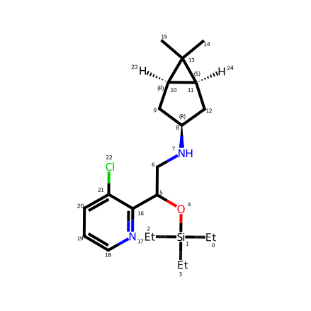 CC[Si](CC)(CC)OC(CN[C@H]1C[C@@H]2[C@H](C1)C2(C)C)c1ncccc1Cl